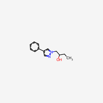 CCC(O)Cn1cc(-c2ccccc2)cn1